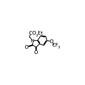 CCOC(=O)CN1C(=O)C(=O)c2cc(OC(F)(F)F)ccc21